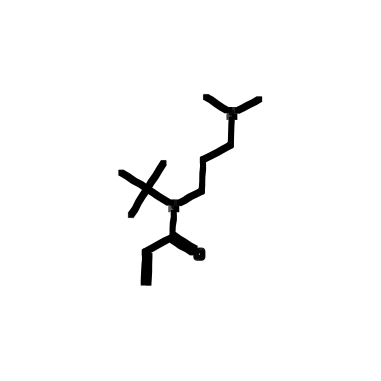 C=CC(=O)N(CCCN(C)C)C(C)(C)C